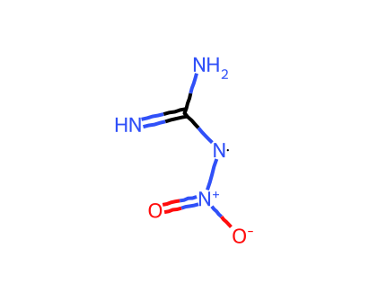 N=C(N)[N][N+](=O)[O-]